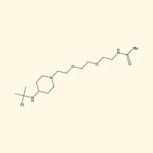 CCC(C)(C)NC1CCN(CCOCCOCCNC(=O)C(C)(C)C)CC1